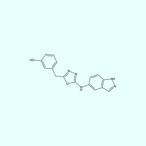 Oc1cccc(Cc2nnc(Nc3ccc4[nH]ncc4c3)o2)c1